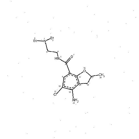 CCN(CC)CCNC(=O)c1cc(Cl)c(N)c2c1OC(C)C2